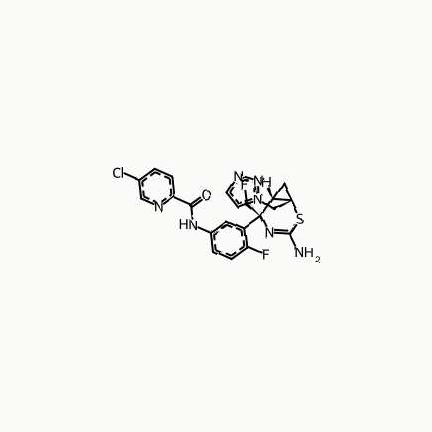 NC1=N[C@](CF)(c2cc(NC(=O)c3ccc(Cl)cn3)ccc2F)[C@@H]2C[C@]2(Cn2ccnn2)S1